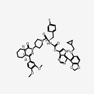 COc1ccc(C2=NN(C3CCN(C(=O)[C@@H](Cc4ccc(F)cc4)NC(=O)Oc4c[nH]c5c(-c6c(OCC7CC7)ccc7c6OCO7)ncnc45)CC3)C(=O)[C@@H]3CCCC[C@H]23)cc1OC